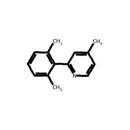 Cc1ccnc(-c2c(C)cccc2C)c1